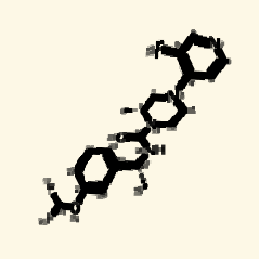 C[C@@H]1CN(c2ccncc2F)CCN1C(=O)N[C@H](C)c1cccc(OC(F)F)c1